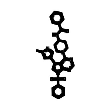 Cn1cc(-c2cn(S(=O)(=O)c3ccccc3)c3ncnc(N4CCC(NC(=O)c5ccccc5)CC4)c23)cn1